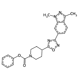 Cc1nn(C)c2cc(-c3noc(C4CCN(C(=O)Oc5ccccc5)CC4)n3)ccc12